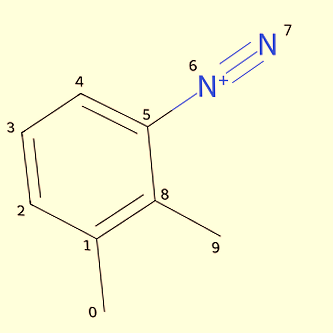 Cc1cccc([N+]#N)c1C